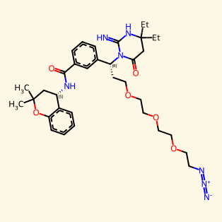 CCC1(CC)CC(=O)N([C@H](CCOCCOCCOCCN=[N+]=[N-])c2cccc(C(=O)N[C@H]3CC(C)(C)Oc4ccccc43)c2)C(=N)N1